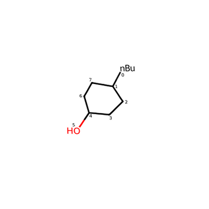 [CH2]CCCC1CCC(O)CC1